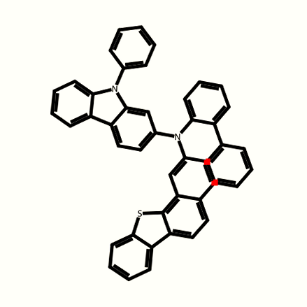 c1ccc(-c2ccccc2N(c2ccc3ccc4c5ccccc5sc4c3c2)c2ccc3c4ccccc4n(-c4ccccc4)c3c2)cc1